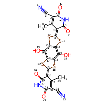 CC1=C(C#N)C(=O)NC(=O)C1=C1Sc2c(O)c3c(c(O)c2S1)SC(=C1C(=O)NC(=O)C(C#N)=C1C)S3